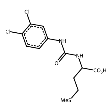 CSCCC(NC(=O)Nc1ccc(Cl)c(Cl)c1)C(=O)O